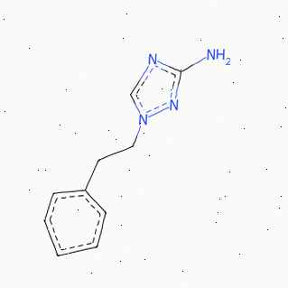 Nc1ncn(CCc2ccccc2)n1